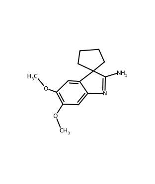 COc1cc2c(cc1OC)C1(CCCC1)C(N)=N2